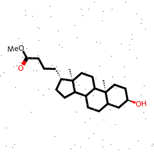 COC(=O)CCC[C@H]1CCC2C3CCC4C[C@H](O)CC[C@]4(C)C3CC[C@@]21C